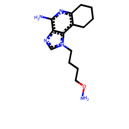 NOCCCCn1cnc2c(N)nc3c(c21)CCCC3